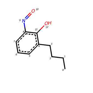 CCCCc1cccc(N=O)c1O